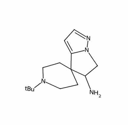 CC(C)(C)N1CCC2(CC1)c1ccnn1CC2N